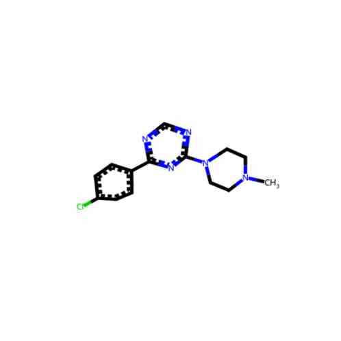 CN1CCN(c2ncnc(-c3ccc(Cl)cc3)n2)CC1